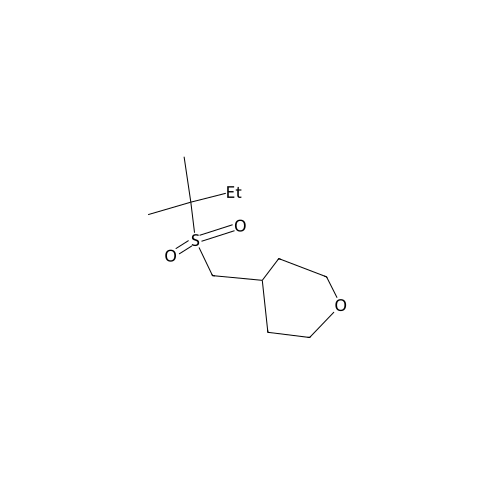 CCC(C)(C)S(=O)(=O)CC1CCOCC1